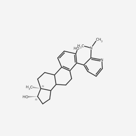 CN(C)c1ncccc1-c1c(O)ccc2c1CCC1C2CC[C@@]2(C)C1CC[C@@H]2O